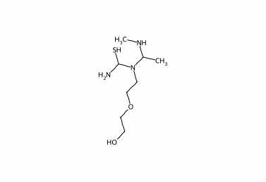 CNC(C)N(CCOCCO)C(N)S